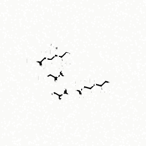 CCC(=O)C(=O)[O-].CCC(=O)C(=O)[O-].O=C(O)[C@H](O)[C@@H](O)[C@H](O)[C@H](O)CO.O=C(O)[C@H](O)[C@@H](O)[C@H](O)[C@H](O)CO.[Mg+2]